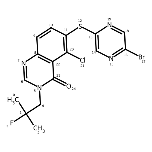 CC(C)(F)Cn1cnc2ccc(Sc3cnc(Br)cn3)c(Cl)c2c1=O